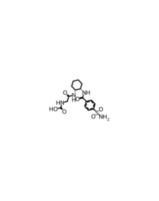 NS(=O)(=O)c1ccc(C(=O)N[C@H]2CCCC[C@H]2NC(=O)CNC(=O)O)cc1